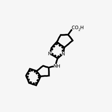 O=C(O)C1Cc2cnc(NC3Cc4ccccc4C3)nc2C1